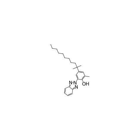 CCCCCCCCCC(C)(C)c1cc(C)c(O)c(-n2nc3ccccc3n2)c1